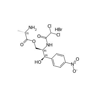 Br.C[C@H](N)C(=O)OC[C@@H](NC(=O)C(Cl)Cl)[C@H](O)c1ccc([N+](=O)[O-])cc1